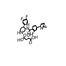 Cn1ccc(-c2ccc(C(=O)N[C@@H]3CNCC[C@H]3c3ccc(F)c(F)c3)c(F)c2)n1.O=C(O)C[C@H](O)C(=O)O